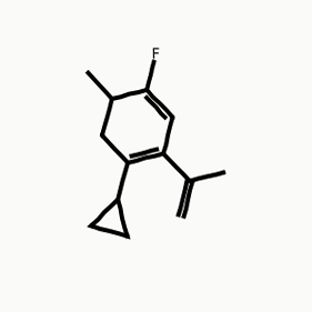 C=C(C)C1=C(C2CC2)CC(C)C(F)=C1